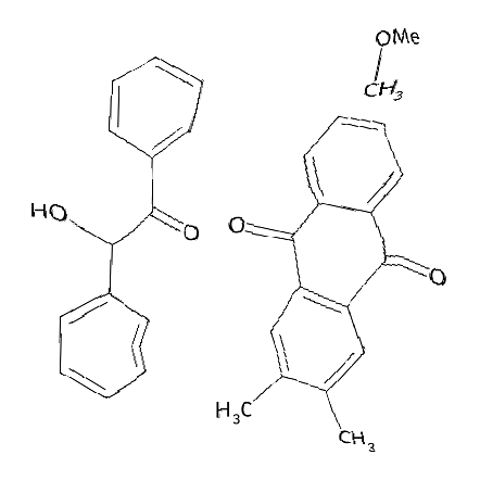 COC.Cc1cc2c(cc1C)C(=O)c1ccccc1C2=O.O=C(c1ccccc1)C(O)c1ccccc1